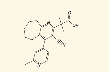 Cc1cc(-c2c(C#N)c(C(C)(C)C(=O)O)nc3c2CCCCC3)ccn1